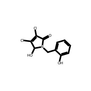 O=C1C(Cl)=C(Cl)C(O)N1Cc1ccccc1O